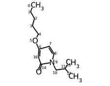 CCCCCOc1ccn(CC(C)C)c(=O)c1